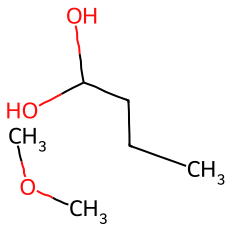 CCCC(O)O.COC